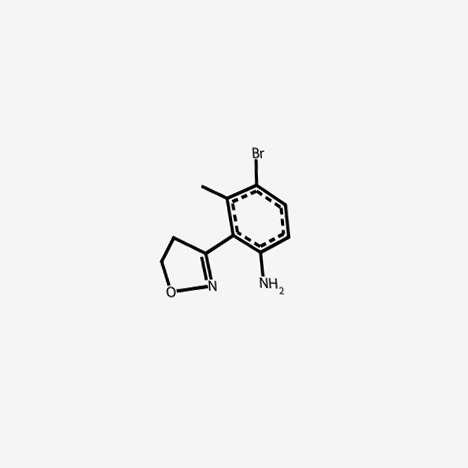 Cc1c(Br)ccc(N)c1C1=NOCC1